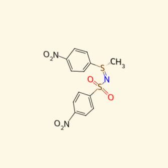 C[S@](=NS(=O)(=O)c1ccc([N+](=O)[O-])cc1)c1ccc([N+](=O)[O-])cc1